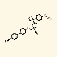 COc1ccc(C2(N3CCC(C#N)(COc4ccc(-c5ccc(C#N)cc5)cc4)C3)COC2)cc1